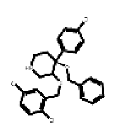 Clc1ccc([C@@]2(OCc3ccccc3)CCNCC2OCc2cc(Cl)ccc2Cl)cc1